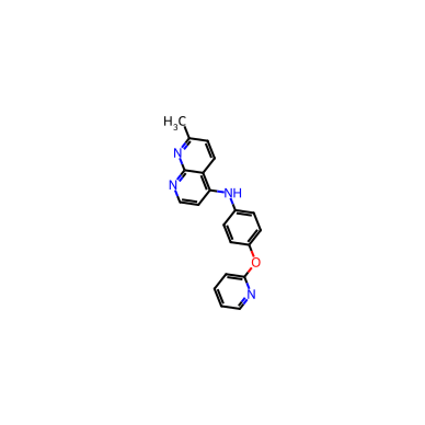 Cc1ccc2c(Nc3ccc(Oc4ccccn4)cc3)ccnc2n1